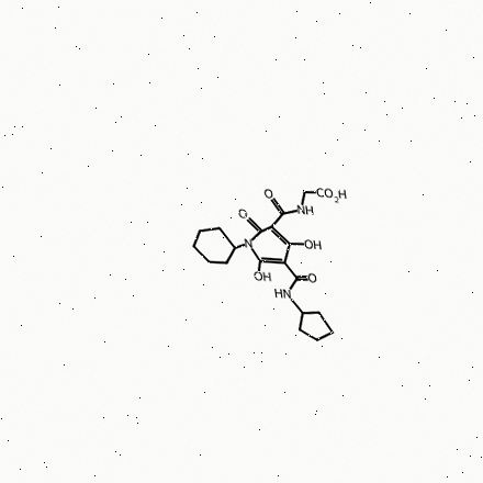 O=C(O)CNC(=O)c1c(O)c(C(=O)NC2CCCC2)c(O)n(C2CCCCC2)c1=O